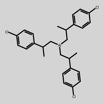 CC([CH2][Al]([CH2]C(C)c1ccc(Cl)cc1)[CH2]C(C)c1ccc(Cl)cc1)c1ccc(Cl)cc1